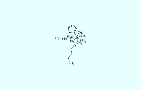 CCCCO[NH][Zr]([CH3])([CH3])([CH3])([CH3])([CH3])[C]1=CC=CC1.Cl.Cl